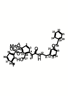 COc1ccc(C(C)C(=O)NCCc2cccc(OCc3ccccc3)c2)c(CO)c1OS(=O)(=O)c1cccc(F)c1